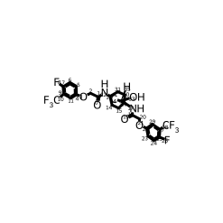 O=C(COc1ccc(F)c(C(F)(F)F)c1)NC12CCC(NC(=O)COc3ccc(F)c(C(F)(F)F)c3)(CC1)[C@@H](O)C2